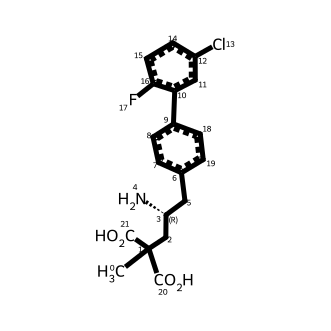 CC(C[C@H](N)Cc1ccc(-c2cc(Cl)ccc2F)cc1)(C(=O)O)C(=O)O